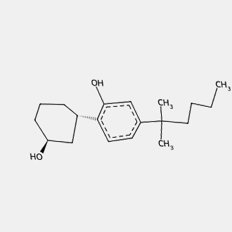 CCCCC(C)(C)c1ccc([C@H]2CCC[C@H](O)C2)c(O)c1